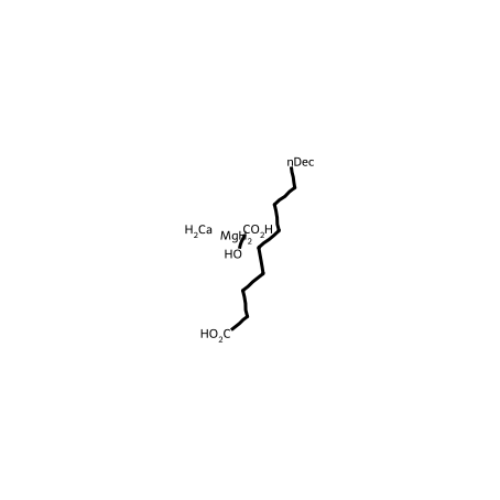 CCCCCCCCCCCCCCCCCC(=O)O.O=C(O)O.[CaH2].[MgH2]